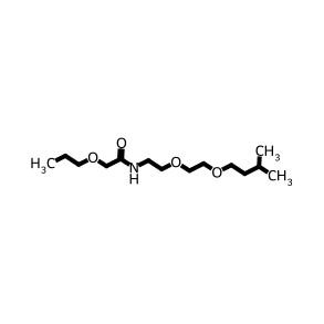 CCCOCC(=O)NCCOCCOCCC(C)C